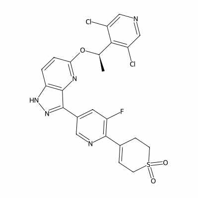 C[C@@H](Oc1ccc2[nH]nc(-c3cnc(C4=CCS(=O)(=O)CC4)c(F)c3)c2n1)c1c(Cl)cncc1Cl